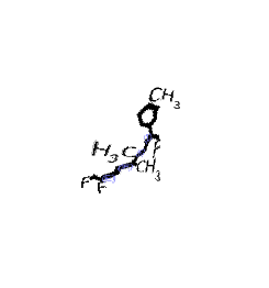 CC(=C\C=C(/CF)C1CCC(C)CC1)/C(C)=C/C=C(/F)CF